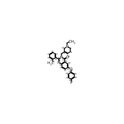 CCN1CCC=C(Cn2c(-c3ccccc3C)nc3ccc(Oc4ccc(F)cc4)cc3c2=O)C1